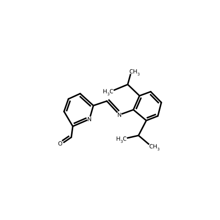 CC(C)c1cccc(C(C)C)c1N=Cc1cccc(C=O)n1